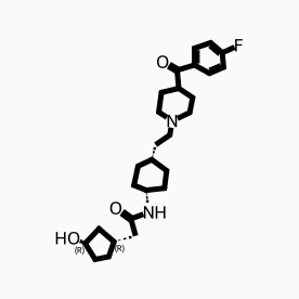 O=C(C[C@@H]1CC[C@@H](O)C1)N[C@H]1CC[C@@H](CCN2CCC(C(=O)c3ccc(F)cc3)CC2)CC1